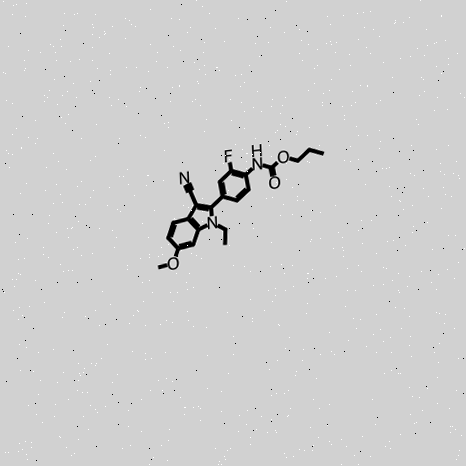 CCCOC(=O)Nc1ccc(-c2c(C#N)c3ccc(OC)cc3n2CC)cc1F